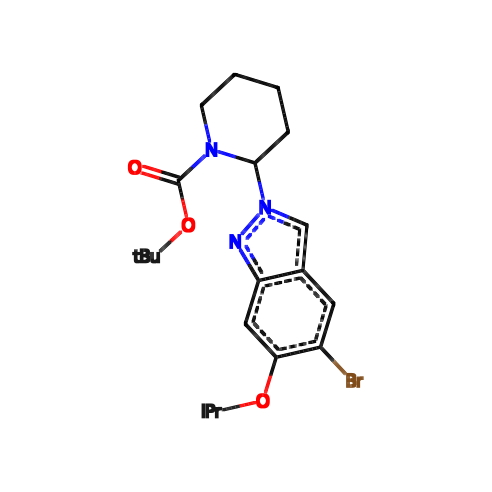 CC(C)Oc1cc2nn(C3CCCCN3C(=O)OC(C)(C)C)cc2cc1Br